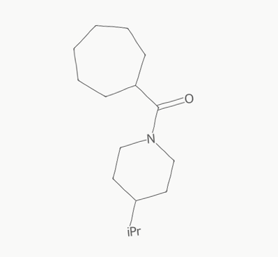 CC(C)C1CCN(C(=O)C2CCCCCC2)CC1